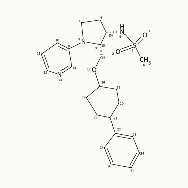 CS(=O)(=O)N[C@H]1CCN(c2cccnc2)[C@H]1COC1CCC(c2ccccc2)CC1